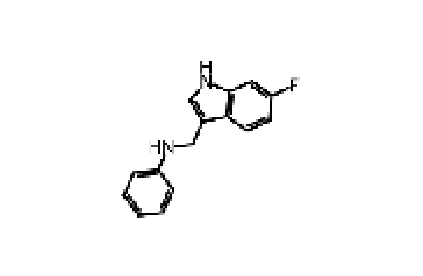 Fc1ccc2c(CNc3ccccc3)c[nH]c2c1